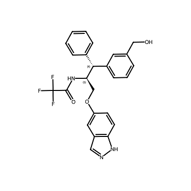 O=C(N[C@H](COc1ccc2[nH]ncc2c1)[C@H](c1ccccc1)c1cccc(CO)c1)C(F)(F)F